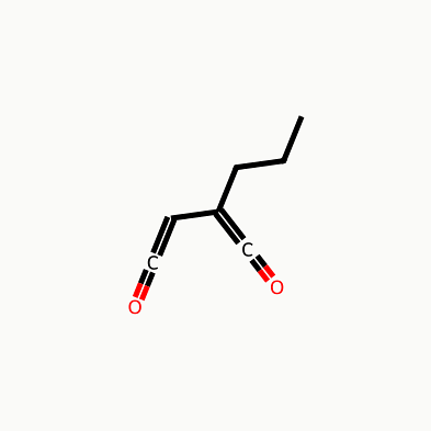 CCCC(=C=O)C=C=O